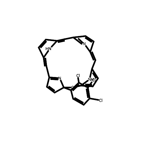 Clc1ccc(C23C=CC(=N2)C=c2ccc([nH]2)=CC2=NC(=Cc4ccc([nH]4)C3)C=C2)c(Cl)c1Cl